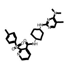 Cc1ccc(S(=O)(=O)c2ncccc2C(=O)N[C@H]2CC[C@@H](Nc3ncc(C)c(N(C)C)n3)CC2)cc1